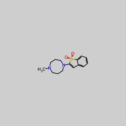 CN1CCCN(C2=Cc3ccccc3S2(=O)=O)CCC1